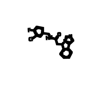 O=C(CC1c2ccccc2-c2cncn21)NCc1ccc(F)c(Cl)c1